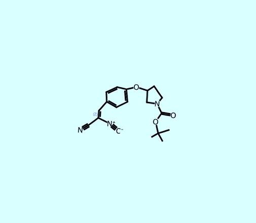 [C-]#[N+]/C(C#N)=C\c1ccc(OC2CCN(C(=O)OC(C)(C)C)C2)cc1